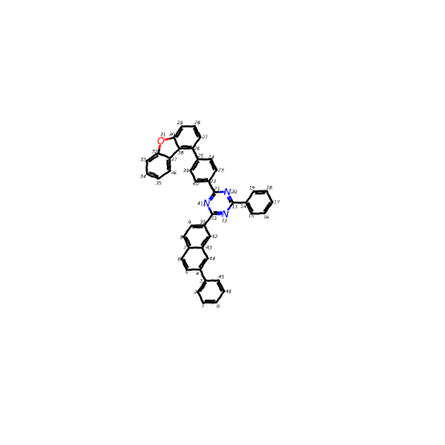 c1ccc(-c2ccc3ccc(-c4nc(-c5ccccc5)nc(-c5ccc(-c6cccc7oc8ccccc8c67)cc5)n4)cc3c2)cc1